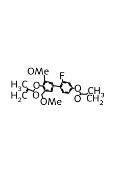 C=C(C)C(=O)Oc1ccc(-c2cc(COC)c(OC(=O)C(=C)C)c(COC)c2)c(F)c1